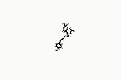 CC(C)C[C@@H](NC/C=C/c1ccc(Br)cc1)C(=O)OC(C)(C)C